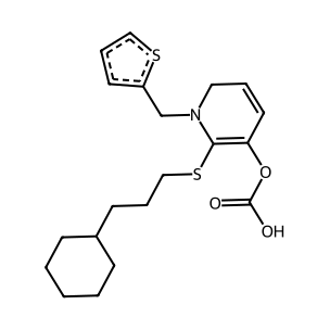 O=C(O)OC1=C(SCCCC2CCCCC2)N(Cc2cccs2)CC=C1